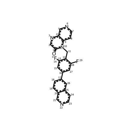 O=c1cnc2cnccc2n1Cc1c(F)cc(-c2ccc3cnccc3c2)cc1F